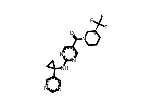 O=C(c1cnc(NC2(c3cncnc3)CC2)nc1)N1CCC[C@H](C(F)(F)F)C1